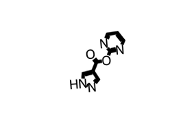 O=C(Oc1ncccn1)c1cn[nH]c1